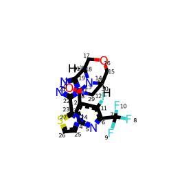 O=C(c1ccnc(C(F)(F)F)c1F)N1[C@H]2COC[C@@H]1c1nnc(-c3nccs3)n1C2